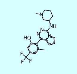 Cc1cc(C(F)(F)F)cc(O)c1-c1nnc(N[C@@H]2CCCN(C)C2)n2cccc12